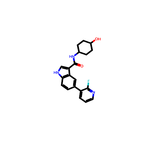 O=C(NC1CCC(O)CC1)c1c[nH]c2ccc(-c3cccnc3F)cc12